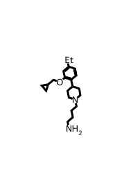 CCc1ccc(C2CCN(CCCCN)CC2)c(OCC2CC2)c1